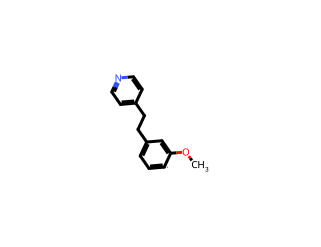 COc1[c]ccc(CCc2ccncc2)c1